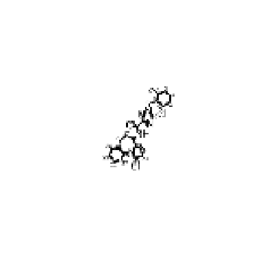 Cc1cccc(Cl)c1Cn1cnc(C(=O)NC2CCc3ccccc3-n3c(Cl)cnc32)n1